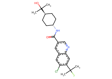 CC(C)(F)c1cc2ncc(C(=O)N[C@H]3CC[C@H](C(C)(C)O)CC3)cc2cc1Cl